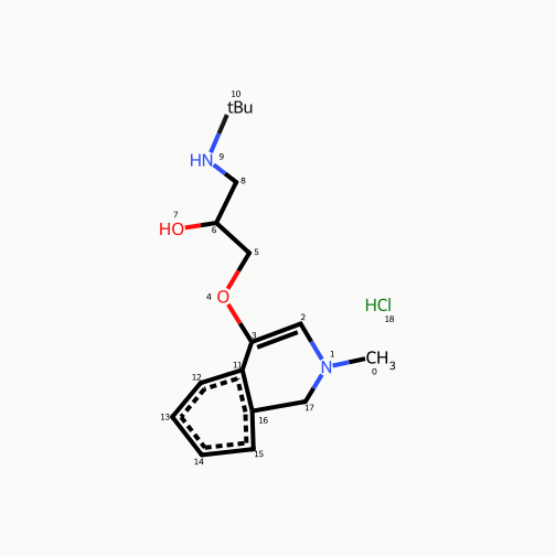 CN1C=C(OCC(O)CNC(C)(C)C)c2ccccc2C1.Cl